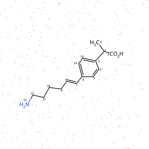 CC(C(=O)O)c1ccc(/C=C/CCCCN)cc1